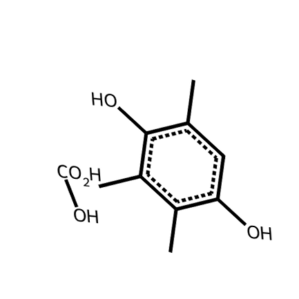 Cc1cc(O)c(C)c(C)c1O.O=C(O)O